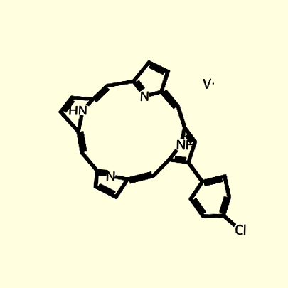 Clc1ccc(-c2cc3cc4nc(cc5ccc(cc6nc(cc2[nH]3)C=C6)[nH]5)C=C4)cc1.[V]